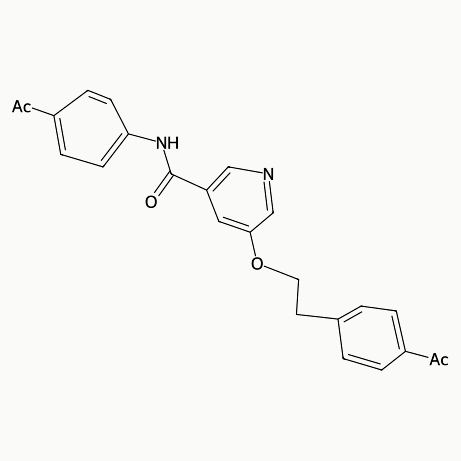 CC(=O)c1ccc(CCOc2cncc(C(=O)Nc3ccc(C(C)=O)cc3)c2)cc1